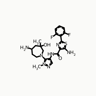 Cn1ncc(NC(=O)c2nc(-c3c(F)cccc3F)sc2N)c1N1CCC(N)CC(C)(O)C1